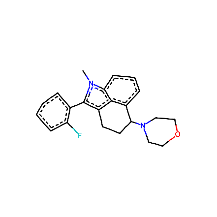 Cn1c(-c2ccccc2F)c2c3c(cccc31)C(N1CCOCC1)CC2